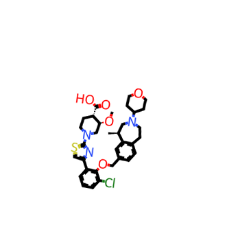 CO[C@@H]1CN(c2nc(-c3cccc(Cl)c3OCc3ccc4c(c3)[C@@H](C)CN(C3CCOCC3)CC4)cs2)CC[C@@H]1C(=O)O